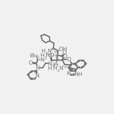 CC[C@H](C)[C@H](N)C(=O)N(CCNC(=O)[C@](C(=O)[C@@H](N)Cc1c[nH]cn1)(C(C)C)[C@](O)(C(=O)COc1cccc2ccccc12)[C@H](O)[C@@H](N)CC1CCCCC1)c1ccccn1